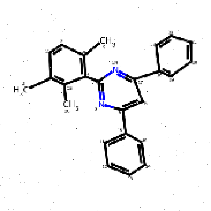 Cc1ccc(C)c(-c2nc(-c3ccccc3)cc(-c3ccccc3)n2)c1C